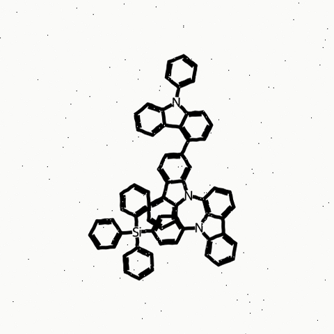 c1ccc(-n2c3ccccc3c3c(-c4ccc5c6ccccc6n(-c6cccc7c8ccccc8n(-c8ccc([Si](c9ccccc9)(c9ccccc9)c9ccccc9)cc8)c67)c5c4)cccc32)cc1